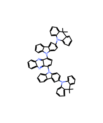 CC1(C)c2ccccc2N(c2ccc3c(c2)c2ccccc2n3-c2ccc(-n3c4ccccc4c4cc(N5c6ccccc6C(C)(C)c6ccccc65)ccc43)c3nc4ccccc4nc23)c2ccccc21